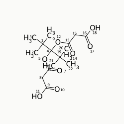 CC(C)(C)C(OC(=O)CC(=O)O)(OC(=O)CC(=O)O)C(C)(C)C